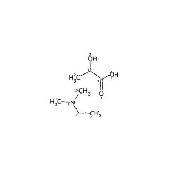 CC(O)C(=O)O.CCN(C)C